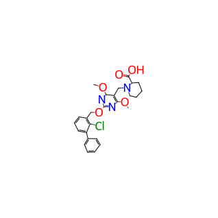 COc1nc(OCc2cccc(-c3ccccc3)c2Cl)nc(OC)c1CN1CCCCC1C(=O)O